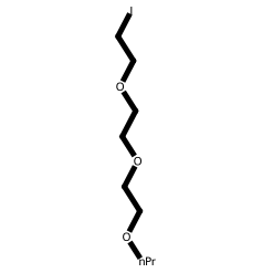 CCCOCCOCCOCCI